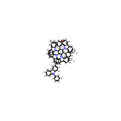 FC(F)(F)c1cc(-c2c(-n3c4ccccc4c4ccccc43)c(-c3cc(C(F)(F)F)cc(C(F)(F)F)c3)c(-n3c4ccccc4c4ccccc43)c(-n3c4ccccc4c4cc(-c5ccc6c(c5)c5ccccc5n6-c5ccccc5)ccc43)c2-n2c3ccccc3c3ccccc32)cc(C(F)(F)F)c1